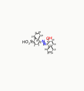 O=S(=O)(O)c1ccc(N=Nc2c(O)ccc3ccccc23)c2ccccc12